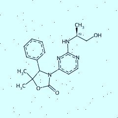 C[C@@H](CO)Nc1nccc(N2C(=O)OC(C)(C)C2c2ccccc2)n1